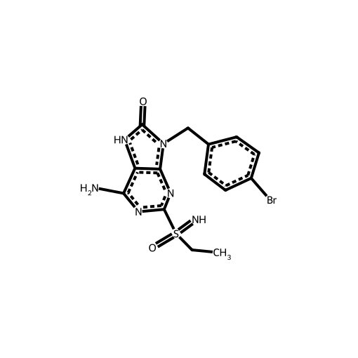 CCS(=N)(=O)c1nc(N)c2[nH]c(=O)n(Cc3ccc(Br)cc3)c2n1